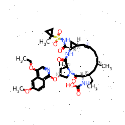 CCOc1cnc(O[C@@H]2C[C@H]3C(=O)N[C@]4(C(=O)NS(=O)(=O)C5(C)CC5)C[C@H]4/C=C\CC[C@@H](C)C[C@@H](CC)[C@H](NC(=O)O)C(=O)N3C2)c2ccc(OC)cc12